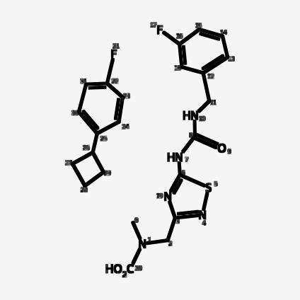 CN(Cc1nsc(NC(=O)NCc2cccc(F)c2)n1)C(=O)O.Fc1ccc(C2CCC2)cc1